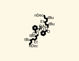 CCCCCCCCCCCCC(CC(CC)CC(COC(=O)c1ccccc1OP(OC(C)=O)Oc1ccccc1C(=O)OCC(CC(CC)CC(CCCCCCCCCCCC)C(C)(C)C)C(C)(C)C)C(C)(C)C)C(C)(C)C